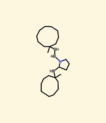 CC1(BBN2CCCC2BC2(C)CCCCCCCC2)CCCCCCCCC1